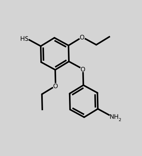 CCOc1cc(S)cc(OCC)c1Oc1cccc(N)c1